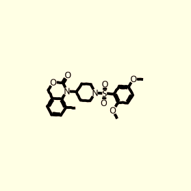 COc1ccc(OC)c(S(=O)(=O)N2CCC(N3C(=O)OCc4cccc(C)c43)CC2)c1